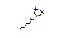 CCCCCCCCCCCCCCC(=O)NC1CC(C)(C)NC(C)(C)C1